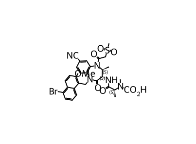 COc1ccc2c(Br)cccc2c1CN1C(=O)[C@@H](NC(=O)[C@H](C)N(C)C(=O)O)[C@H](C)N(C(=O)CS(C)(=O)=O)c2cc(C#N)ccc21